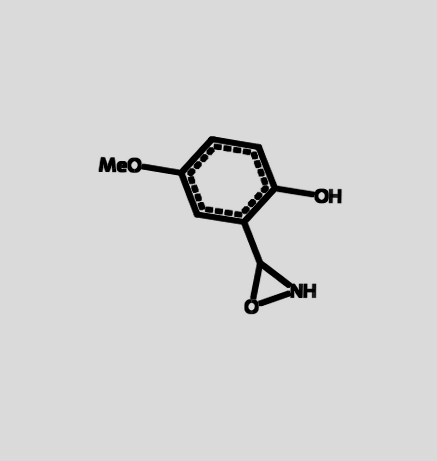 COc1ccc(O)c(C2NO2)c1